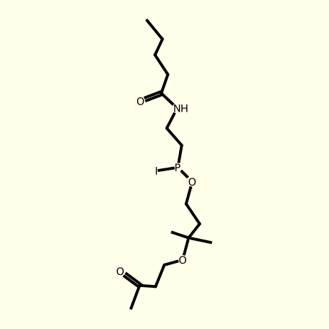 CCCCC(=O)NCCP(I)OCCC(C)(C)OCCC(C)=O